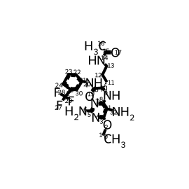 CCOc1nc(N)nc(N[C@@H](CCCNC(C)=O)C(=O)Nc2cccc(C(F)(F)F)c2)c1N